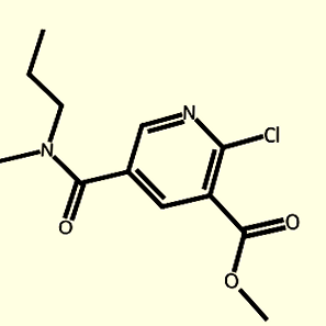 CCCN(C)C(=O)c1cnc(Cl)c(C(=O)OC)c1